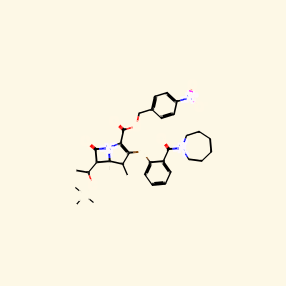 CC(O[Si](C)(C)C)C1C(=O)N2C(C(=O)OCc3ccc([N+](=O)[O-])cc3)=C(Sc3ccccc3C(=O)N3CCCCCC3)C(C)[C@@H]12